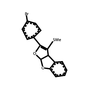 CSC1=C(c2ccc(Br)cc2)OC2Oc3ccccc3C12